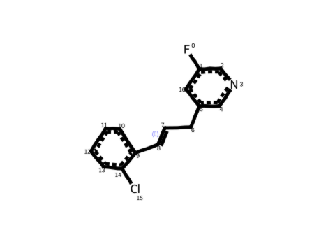 Fc1cncc(C/C=C/c2ccccc2Cl)c1